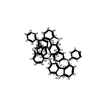 c1ccc(N(c2ccccc2)c2cccc3sc4ccc(N(c5ccc6sc7cccc(N(c8ccccc8)c8ccccc8)c7c6c5)c5cccc6oc7ccccc7c56)cc4c23)cc1